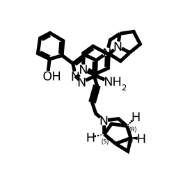 Nc1nnc(-c2ccccc2O)cc1N1CC2CCC(C1)N2c1ccnc(C#CCN2C[C@@H]3C[C@H]2C2C[C@H]23)c1